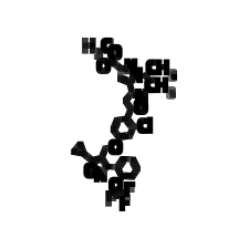 COC(=O)c1cc(C2=NOC(c3ccc(OCc4c(-c5ccccc5OC(F)(F)F)noc4C4CC4)cc3Cl)C2)n(C(C)C)n1